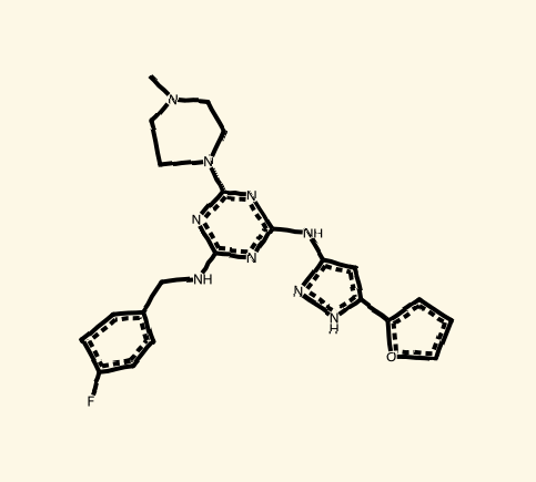 CN1CCN(c2nc(NCc3ccc(F)cc3)nc(Nc3cc(-c4ccco4)[nH]n3)n2)CC1